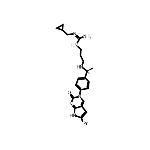 CC(C)c1cc2cn(-c3ccc([C@H](C)NCCCN/C(N)=N\CC4CC4)cc3)c(=O)nc2[nH]1